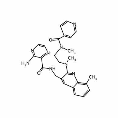 Cc1cccc2cc(CNC(=O)c3nccnc3N)c(N(C)CCN(C)C(=O)c3ccncc3)nc12